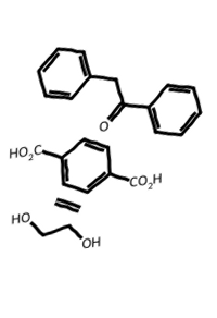 C=C.O=C(Cc1ccccc1)c1ccccc1.O=C(O)c1ccc(C(=O)O)cc1.OCCO